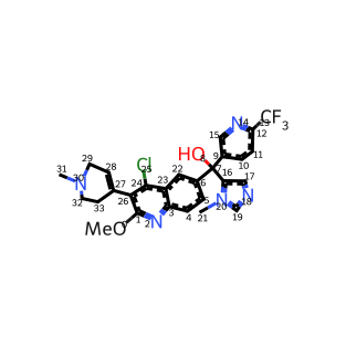 COc1nc2ccc(C(O)(c3ccc(C(F)(F)F)nc3)c3cncn3C)cc2c(Cl)c1C1=CCN(C)CC1